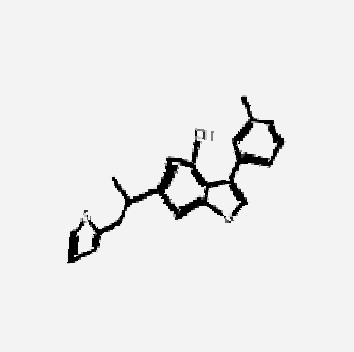 Cc1cccc(-c2coc3cc(C(C)Cc4cccs4)cc(O)c23)c1